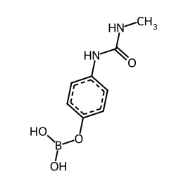 CNC(=O)Nc1ccc(OB(O)O)cc1